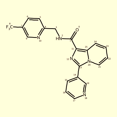 O=C(NCc1ccc(C(F)(F)F)cn1)c1nc(-c2cccnc2)n2ccccc12